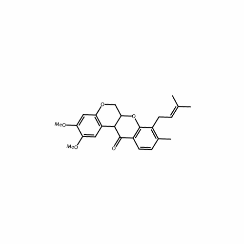 COc1cc2c(cc1OC)C1C(=O)c3ccc(C)c(CC=C(C)C)c3OC1CO2